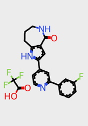 O=C(O)C(F)(F)F.O=C1NCCCc2[nH]c(-c3ccnc(-c4cccc(F)c4)c3)cc21